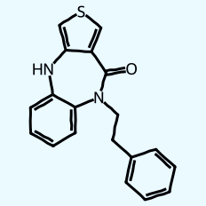 O=C1c2cscc2Nc2ccccc2N1CCc1ccccc1